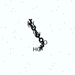 CC(C)c1noc(N2CCC(COc3ccc(C4=CCC(C(=O)N5CC(=NO)C5)CC4)cn3)CC2)n1